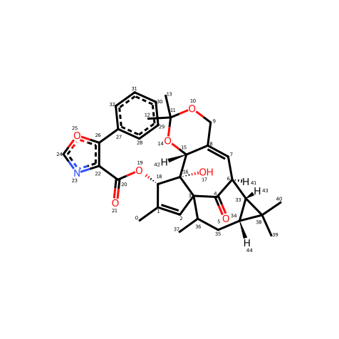 CC1=CC23C(=O)[C@@H](C=C4COC(C)(C)O[C@H]4[C@]2(O)[C@H]1OC(=O)c1ncoc1-c1ccccc1)[C@H]1[C@@H](CC3C)C1(C)C